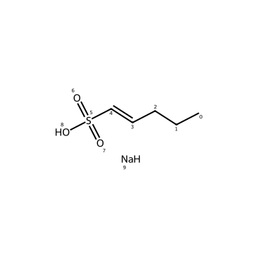 CCCC=CS(=O)(=O)O.[NaH]